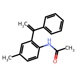 C=C(c1ccccc1)c1cc(C)ccc1NC(C)=O